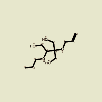 C=CCOC(CO)(CO)[C](CO)OCCC